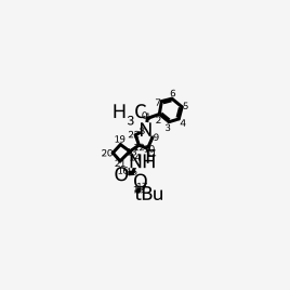 C[C@@H](c1ccccc1)N1CC(F)C(C2(NC(=O)OC(C)(C)C)CCC2)C1